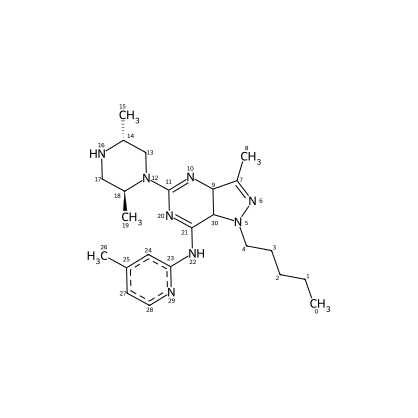 CCCCCN1N=C(C)C2N=C(N3C[C@@H](C)NC[C@@H]3C)N=C(Nc3cc(C)ccn3)C21